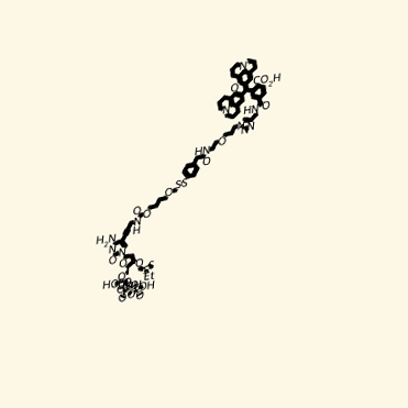 CCS(=S)COC1C[C@H](n2cc(C#CCNC(=O)OCCCCOCSSc3ccc(CC(=O)NCCOCCCn4cc(CNC(=O)c5ccc(C(=O)O)c(C6=c7cc8c9c(c7Oc7c6cc6c%10c7CCCN%10CCC6)CCC[N+]=9CCC8)c5)nn4)cc3)c(N)nc2=O)O[C@@H]1COP(=O)(O)OP(=O)(O)OP(=O)(O)O